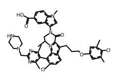 Cc1cc(OCCCc2c3n(c4c(-c5c(C)nc(CN6CCNCC6)nc5C)c(Cl)ccc24)C(C)CN(c2cn(C)c4ccc(C(=O)O)cc24)C3=O)cc(C)c1Cl